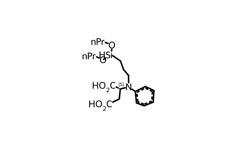 CCCO[SiH](CCCN(c1ccccc1)[C@@H](CC(=O)O)C(=O)O)OCCC